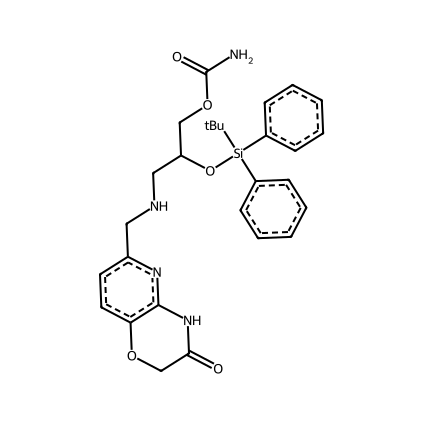 CC(C)(C)[Si](OC(CNCc1ccc2c(n1)NC(=O)CO2)COC(N)=O)(c1ccccc1)c1ccccc1